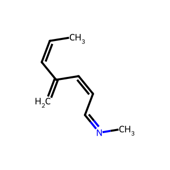 C=C(/C=C\C)/C=C\C=N/C